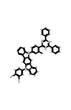 Cc1cc(-n2c3ccccc3c3cc4c(cc32)c2ccccc2n4-c2ccc(F)c(F)c2)ccc1-c1nc(-c2ccccc2)nc(-c2ccccc2)n1